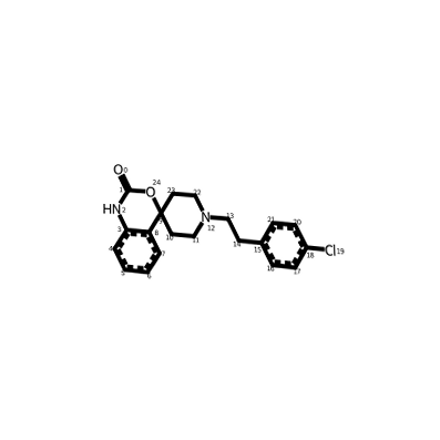 O=C1Nc2ccccc2C2(CCN(CCc3ccc(Cl)cc3)CC2)O1